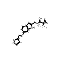 CC1(C(=O)NCc2cc3ccc(OCc4ccsn4)cc3[nH]2)CC1